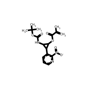 C=C(C)C(=O)OC1C(NC(=O)OC(C)(C)C)C1c1cccnc1[N+](=O)[O-]